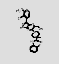 CC1(C(=N)Nc2ccccc2F)CCN(c2nc3[nH]nc(-c4ccnc(N)c4Cl)c3nc2CO)CC1